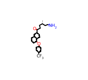 C[C@H](CCN)CCC(=O)c1ccc2c(Oc3ccc(C(F)(F)F)cc3)cccc2c1